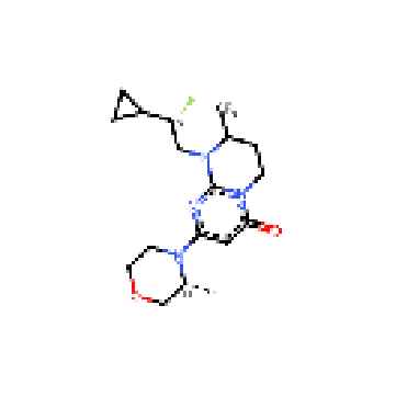 C[C@@H]1COCCN1c1cc(=O)n2c(n1)N(C[C@@H](F)C1CC1)C(C(F)(F)F)CC2